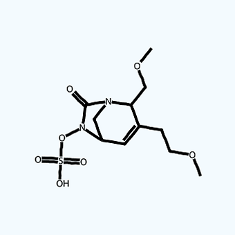 COCCC1=CC2CN(C(=O)N2OS(=O)(=O)O)C1COC